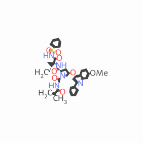 C=C[C@@H]1C[C@]1(NC(=O)[C@@H]1CC(Oc2cc(-c3ccccc3)nc3cc(OC)ccc23)CN1C(=O)CNC(=O)C(=C)C)C(=O)NS(=O)(=O)c1ccccc1